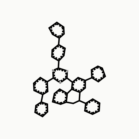 c1ccc(-c2ccc(-c3nc(-c4cccc(-c5ccccc5)c4)nc(-c4cc(-c5ccccc5)cc5c4-c4ccccc4CC5c4ccccc4)n3)cc2)cc1